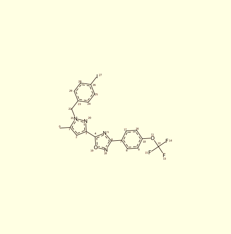 Cc1cc(-c2nc(-c3ccc(OC(F)(F)F)cc3)no2)nn1Cc1ccc(I)cc1